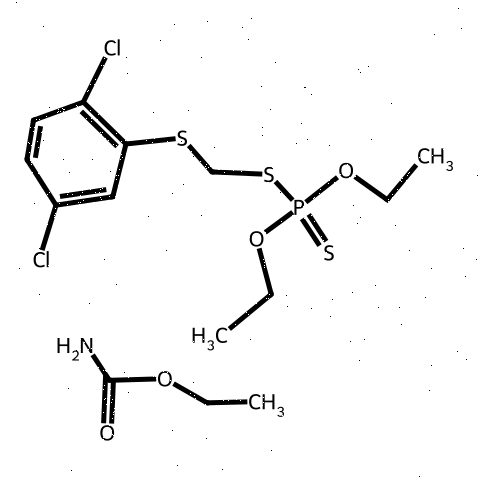 CCOC(N)=O.CCOP(=S)(OCC)SCSc1cc(Cl)ccc1Cl